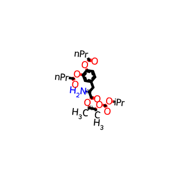 CCCC(=O)Oc1ccc(C[C@H](N)C(=O)O[C@@H](C)C(C)OC(=O)OC(C)C)cc1OC(=O)CCC